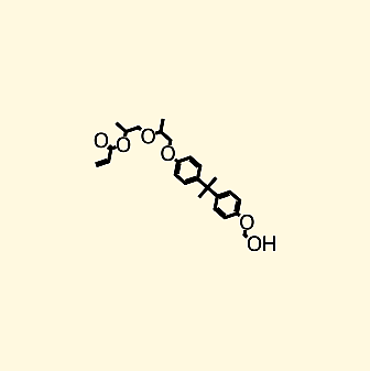 C=CC(=O)OC(C)COC(C)COc1ccc(C(C)(C)c2ccc(OCO)cc2)cc1